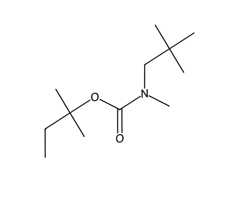 CCC(C)(C)OC(=O)N(C)CC(C)(C)C